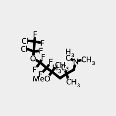 COC(C)(CC(C)(C)CN(C)C)C(F)(F)C(F)(F)OC(F)(Cl)C(F)(F)Cl